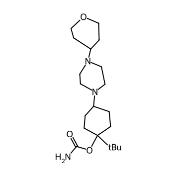 CC(C)(C)C1(OC(N)=O)CCC(N2CCN(C3CCOCC3)CC2)CC1